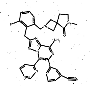 CN1CCC2(CN(Cc3cccc(F)c3Cc3nc4c(N)nc(-c5cccc(C#N)c5)c(-c5ccncn5)n4n3)C2)C1=O